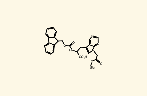 CC(C)(C)OC(=O)Cn1cc(CC(NC(=O)OCC2c3ccccc3-c3ccccc32)C(=O)O)c2cncnc21